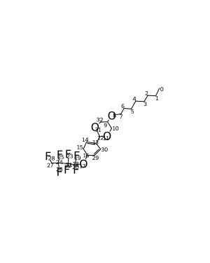 CCCCCCCCOC1COC(C2=CCC(OC(F)(F)C(F)(F)C(F)(F)CF)C=C2)OC1